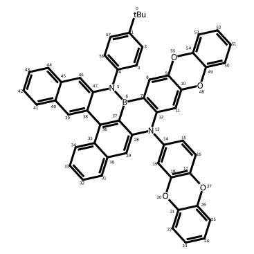 CC(C)(C)c1ccc(N2B3c4cc5c(cc4N(c4ccc6c(c4)Oc4ccccc4O6)c4cc6ccccc6c(c43)-c3cc4ccccc4cc32)Oc2ccccc2O5)cc1